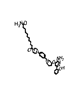 NC(=O)CCCCCCCCCCC(=O)N1CCN(c2ccc(N3CCCC(Oc4cc(-c5ccccc5O)nnc4N)C3)cc2)CC1